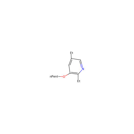 CCCCCOc1cc(CC)cnc1CC